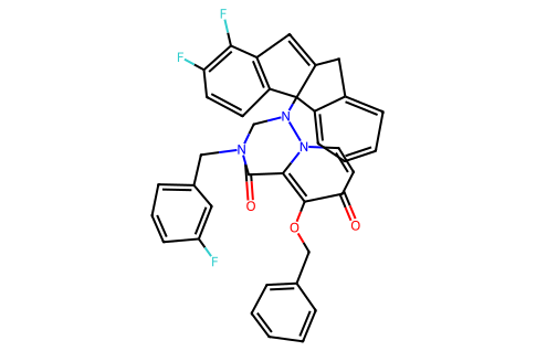 O=C1c2c(OCc3ccccc3)c(=O)ccn2N(C23C(=Cc4c2ccc(F)c4F)Cc2ccccc23)CN1Cc1cccc(F)c1